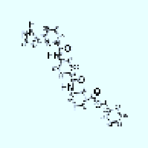 O=C(Nc1cccc(C(=O)OCc2ccccc2)c1)c1ccc(NC(=O)c2cccc(-c3ccn[nH]3)n2)cc1